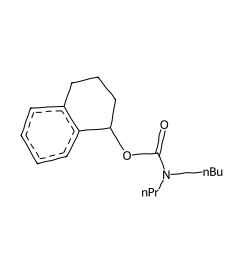 CCCCN(CCC)C(=O)OC1CCCc2ccccc21